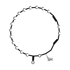 O=C1CCCCCCCCCCCCCC/C=C\CC/C=C/C[C@H](S)O1